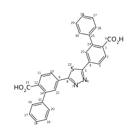 O=C(O)c1ccc(-c2nnc(-c3ccc(C(=O)O)c(-c4ccccc4)c3)s2)cc1-c1ccccc1